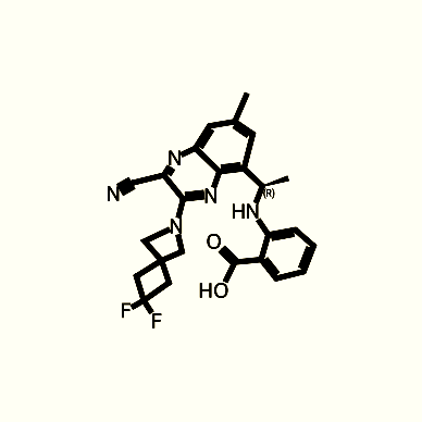 Cc1cc([C@@H](C)Nc2ccccc2C(=O)O)c2nc(N3CC4(C3)CC(F)(F)C4)c(C#N)nc2c1